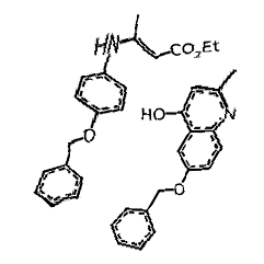 CCOC(=O)C=C(C)Nc1ccc(OCc2ccccc2)cc1.Cc1cc(O)c2cc(OCc3ccccc3)ccc2n1